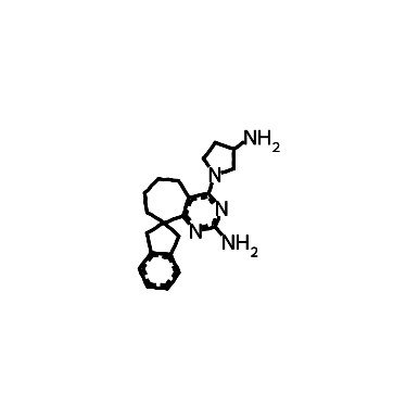 Nc1nc(N2CCC(N)C2)c2c(n1)C1(CCCC2)Cc2ccccc2C1